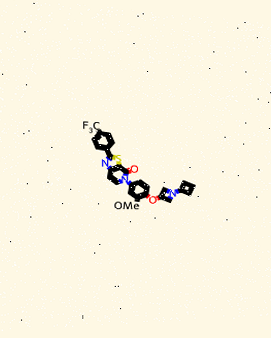 COc1cc(-n2ccc3nc(-c4ccc(C(F)(F)F)cc4)sc3c2=O)ccc1OC1CN(C2CCC2)C1